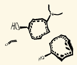 C=O.CN(C)c1cccc(O)c1.Oc1ccccc1